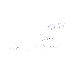 COCCOC(=O)CN1CC[C@@H](NC(=O)c2cc(Cl)c(N)[nH]c2=O)[C@@H](OC)C1